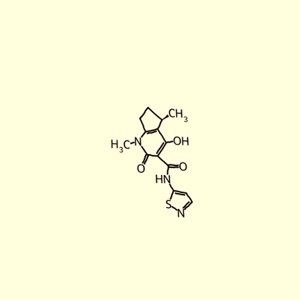 C[C@@H]1CCc2c1c(O)c(C(=O)Nc1ccns1)c(=O)n2C